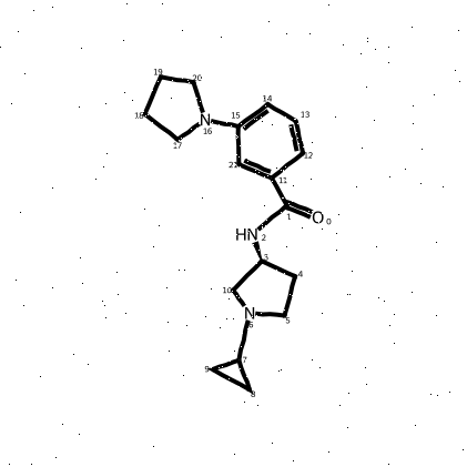 O=C(N[C@H]1CCN(C2CC2)C1)c1cccc(N2CCCC2)c1